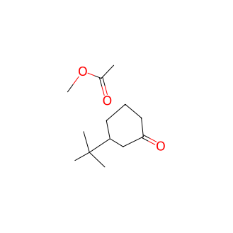 CC(C)(C)C1CCCC(=O)C1.COC(C)=O